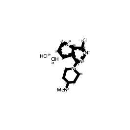 CNC1CCN(c2nnc(Cl)c3ccccc23)CC1.Cl.Cl